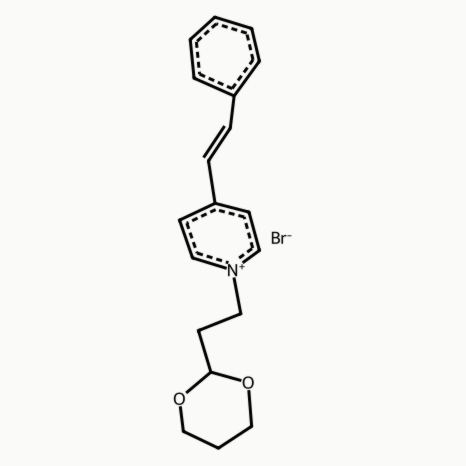 C(=C\c1cc[n+](CCC2OCCCO2)cc1)/c1ccccc1.[Br-]